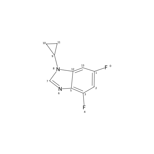 Fc1cc(F)c2ncn(C3CC3)c2c1